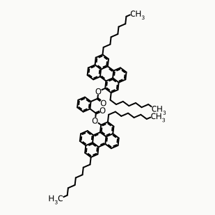 CCCCCCCCc1cc2cccc3c4c(OC(=O)c5ccccc5C(=O)Oc5c(CCCCCCCC)cc6cccc7c8cc(CCCCCCCC)cc9cccc(c5c67)c98)c(CCCCCCCC)cc5cccc(c(c1)c23)c54